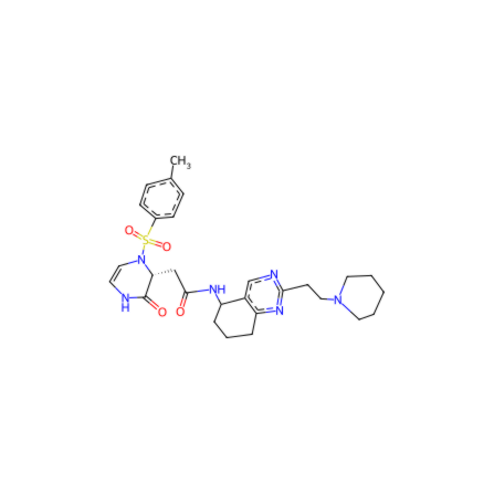 Cc1ccc(S(=O)(=O)N2C=CNC(=O)[C@H]2CC(=O)NC2CCCc3nc(CCN4CCCCC4)ncc32)cc1